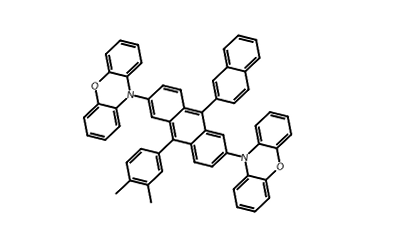 Cc1ccc(-c2c3ccc(N4c5ccccc5Oc5ccccc54)cc3c(-c3ccc4ccccc4c3)c3ccc(N4c5ccccc5Oc5ccccc54)cc23)cc1C